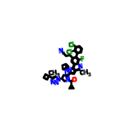 Cc1nc2c(F)c(-c3cccc(Cl)c3Cl)c(CCC#N)cc2c2c1cc(C1CC(n3cc(C4(C)CCC4)nn3)CN1C(=O)C1CC1)n2C1C2CNC1C2